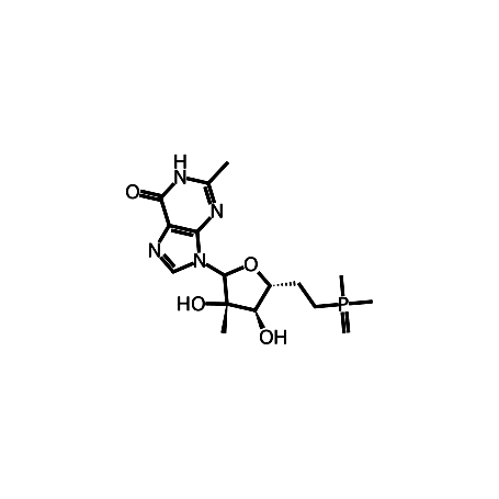 C=P(C)(C)CC[C@H]1OC(n2cnc3c(=O)[nH]c(C)nc32)[C@@](C)(O)[C@@H]1O